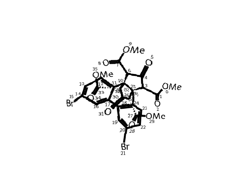 COC(=O)C1C(=O)C(C(=O)OC)[C@@]23c4ccc(Br)cc4-c4cc(Br)ccc4[C@@]12[C@H](C(=O)OC)C(=O)[C@@H]3C(=O)OC